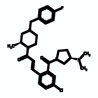 C[C@@H]1CN(Cc2ccc(F)cc2)CCN1C(=O)/C=C/c1ccc(Cl)cc1C(=O)N1CC[C@H](N(C)C)C1